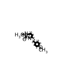 COc1ccc(CSc2ccc3nn(C)c(=O)n3n2)cc1